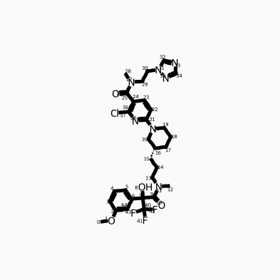 COc1cccc(C(O)(C(=O)N(C)CCC[C@H]2CCCN(c3ccc(C(=O)N(C)CCn4cncn4)c(Cl)n3)C2)C(F)(F)F)c1